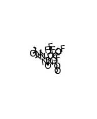 C=CC(=O)N1C(C)CN(c2nc(=O)n3c4c(c(-c5ccc(F)cc5F)c(C(F)(F)F)cc24)SCC(OCOC)C3)CC1C